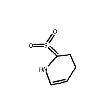 O=S(=O)=C1CCC=CN1